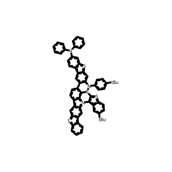 CC(C)(C)c1ccc(N2B3c4sc5ccc(C(C)(C)C)cc5c4-n4c5cc6c(cc5c5ccc(c3c54)-c3cc4c(cc32)sc2cc(N(c3ccccc3)c3ccccc3)ccc24)sc2ccccc26)cc1